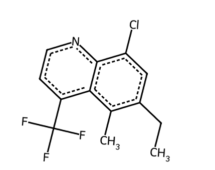 CCc1cc(Cl)c2nccc(C(F)(F)F)c2c1C